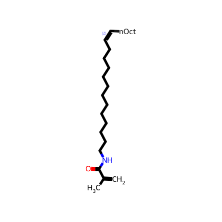 C=C(C)C(=O)NCCCCCCCCCCCC/C=C\CCCCCCCC